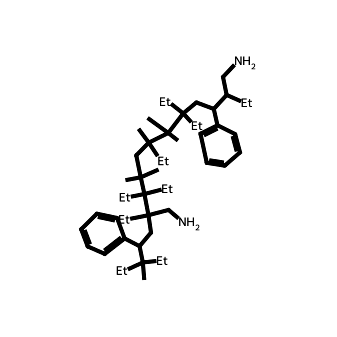 CCC(CN)C(CC(CC)(CC)C(C)(C)C(C)(CC)CC(C)(C)C(CC)(CC)C(CC)(CN)CC(c1ccccc1)C(C)(CC)CC)c1ccccc1